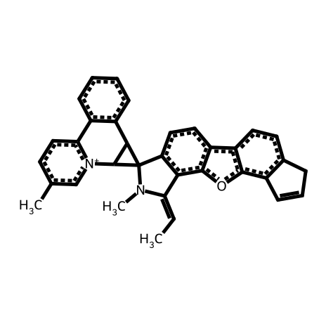 C/C=C1/c2c(ccc3c2oc2c4c(ccc23)CC=C4)C2(C3c4ccccc4-c4ccc(C)c[n+]4C32)N1C